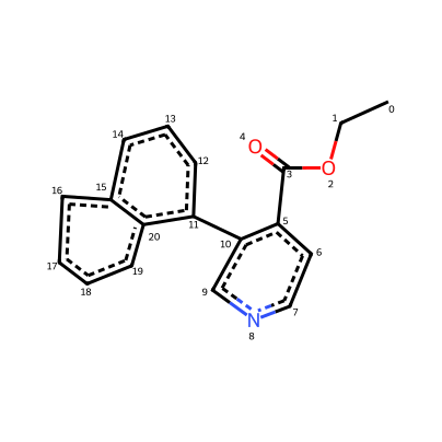 CCOC(=O)c1ccncc1-c1cccc2ccccc12